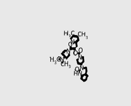 Cc1cnc(C[C@@H](OC(=O)N2CCC(N3CCc4ccccc4NC3=O)CC2)C(=O)N2CCC(N(C)C)CC2)cc1C